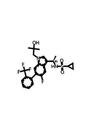 C[C@@H](NS(=O)(=O)C1CC1)c1cn(CC(C)(C)O)c2cc(-c3ccccc3C(F)(F)F)c(F)cc12